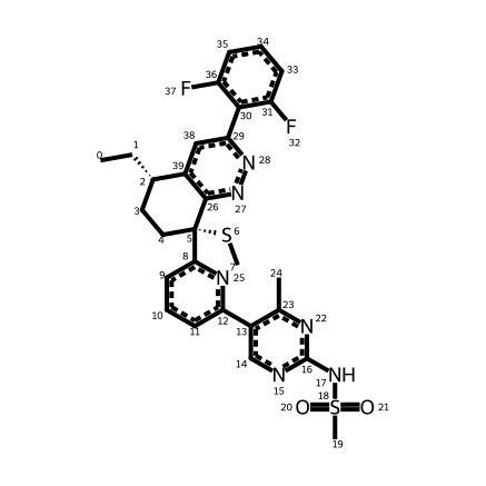 CC[C@H]1CC[C@](SC)(c2cccc(-c3cnc(NS(C)(=O)=O)nc3C)n2)c2nnc(-c3c(F)cccc3F)cc21